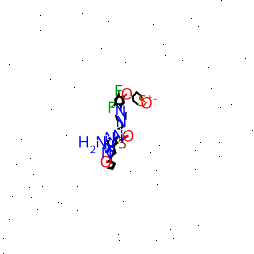 Nc1nc2c(sc(=O)n2CCN2CCN(c3cc(O[C@H]4CC[S@@+]([O-])CC4)c(F)cc3F)CC2)c2cc(-c3ccco3)nn12